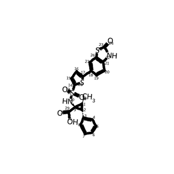 C[C@@H]1[C@H](c2ccccc2)[C@]1(NS(=O)(=O)c1ccc(-c2ccc3[nH]c(=O)sc3c2)s1)C(=O)O